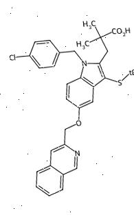 CC(C)(C)Sc1c(CC(C)(C)C(=O)O)n(Cc2ccc(Cl)cc2)c2ccc(OCc3cc4ccccc4cn3)cc12